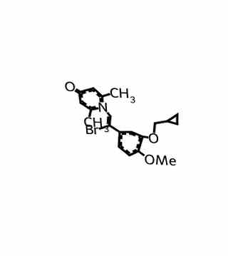 COc1ccc(C(Br)=Cn2c(C)cc(=O)cc2C)cc1OCC1CC1